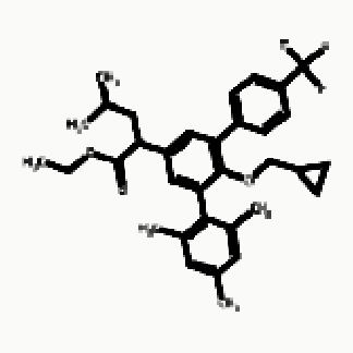 CCOC(=O)C(CC(C)C)c1cc(-c2ccc(C(F)(F)F)cc2)c(OCC2CC2)c(-c2c(C)cc(C)cc2C)c1